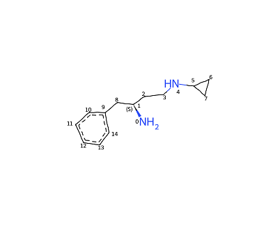 N[C@H](CCNC1CC1)Cc1ccccc1